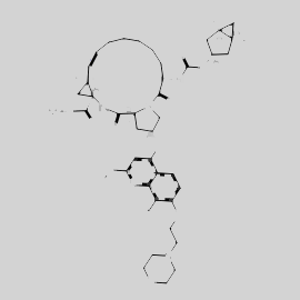 CCOc1cc(O[C@@H]2C[C@H]3C(=O)N[C@]4(C(=O)OC)C[C@H]4/C=C\CCCCC[C@H](NC(=O)O[C@@H]4C[C@@H]5C[C@@H]5C4)C(=O)N3C2)c2ccc(OCCN3CCOCC3)c(Cl)c2n1